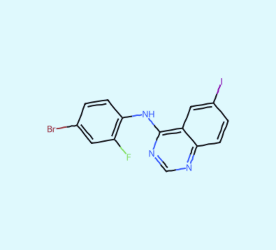 Fc1cc(Br)ccc1Nc1ncnc2ccc(I)cc12